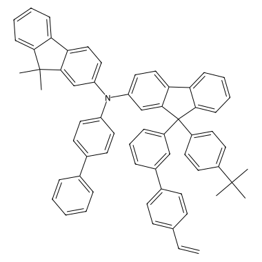 C=Cc1ccc(-c2cccc(C3(c4ccc(C(C)(C)C)cc4)c4ccccc4-c4ccc(N(c5ccc(-c6ccccc6)cc5)c5ccc6c(c5)C(C)(C)c5ccccc5-6)cc43)c2)cc1